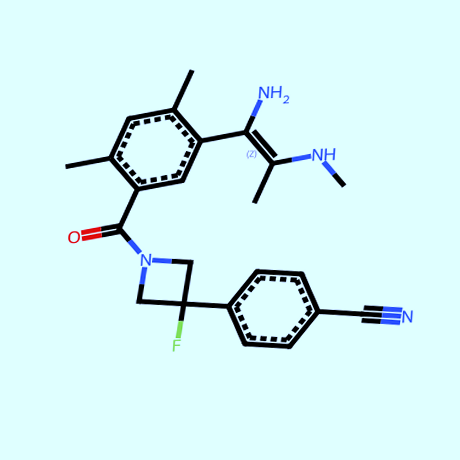 CN/C(C)=C(\N)c1cc(C(=O)N2CC(F)(c3ccc(C#N)cc3)C2)c(C)cc1C